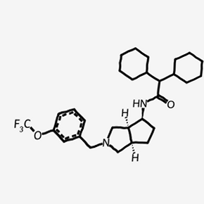 O=C(N[C@H]1CC[C@H]2CN(Cc3cccc(OC(F)(F)F)c3)C[C@H]21)C(C1CCCCC1)C1CCCCC1